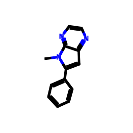 Cn1c(-c2ccccc2)cc2nccnc21